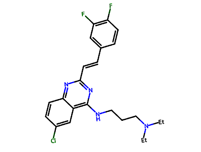 CCN(CC)CCCNc1nc(C=Cc2ccc(F)c(F)c2)nc2ccc(Cl)cc12